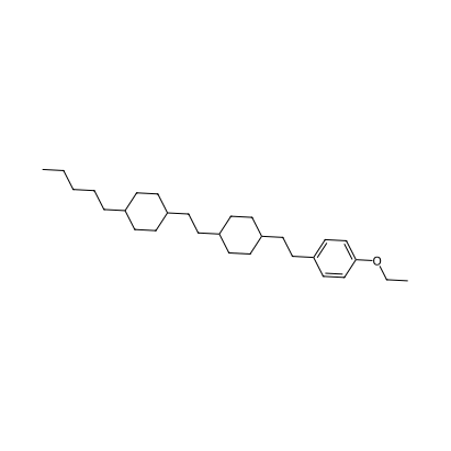 CCCCCC1CCC(CCC2CCC(CCc3ccc(OCC)cc3)CC2)CC1